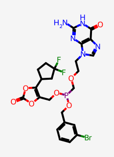 Nc1nc2c(ncn2CCOCP(OCc2cccc(Br)c2)OCc2oc(=O)oc2C2CCC(F)(F)C2)c(=O)[nH]1